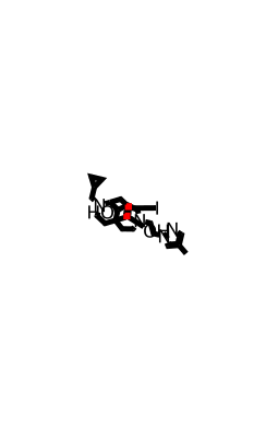 Cc1cnn(CCN2CCC34CCN(CC5CC5)C(Cc5cc(I)c(O)cc53)C4(O)CC2)c1